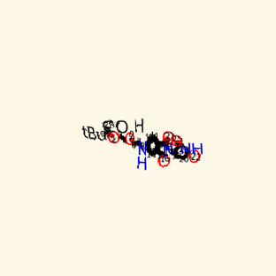 CC(C)(C)C(OCCOCCNc1ccc2c(c1)C(=O)N(C1CCC(=O)NC1=O)C2=O)C(=O)O